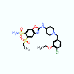 CCOc1cc(CN2CCC(Nc3nc4cc(S(=O)(=O)CC)c(S(N)(=O)=O)cc4o3)CC2)ccc1Cl